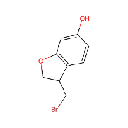 Oc1ccc2c(c1)OCC2CBr